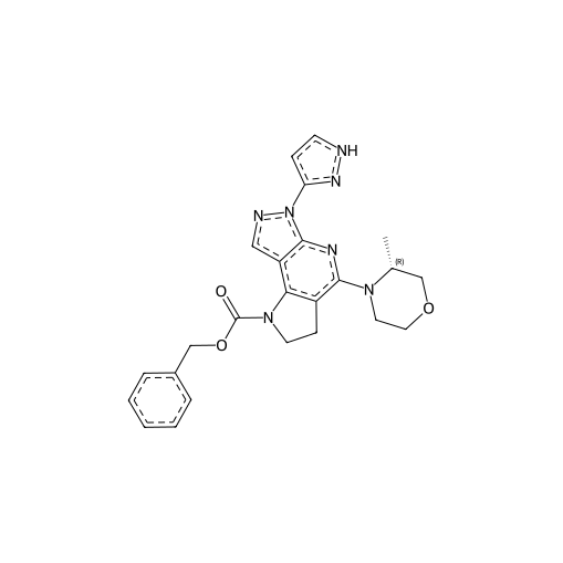 C[C@@H]1COCCN1c1nc2c(cnn2-c2cc[nH]n2)c2c1CCN2C(=O)OCc1ccccc1